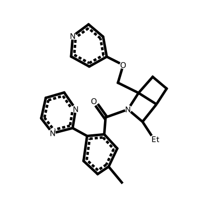 CCC1C2CCC2(COc2ccncc2)N1C(=O)c1cc(C)ccc1-c1ncccn1